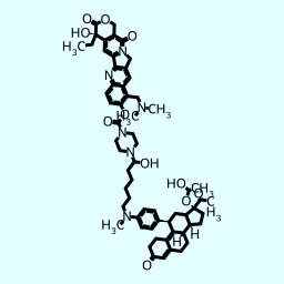 CC[C@@]1(O)C(=O)OCc2c1cc1n(c2=O)Cc2cc3c(CN(C)C)c(OC(=O)N4CCN(C(O)CCCCCN(C)c5ccc([C@H]6CC7[C@@H](CC[C@]7(OC(C)O)C(C)=O)[C@@H]7CCC8=CC(=O)CCC8=C76)cc5)CC4)ccc3nc2-1